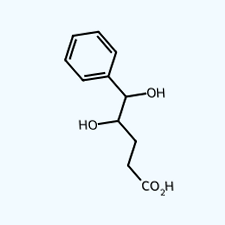 O=C(O)CCC(O)C(O)c1ccccc1